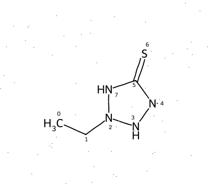 CCN1N[N]C(=S)N1